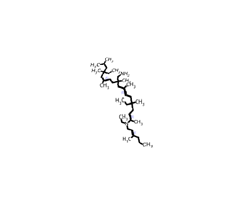 CCC/C(C)=C/CN(CC)/C(C)=C/CC(C)(CC)C/C=C(\C)CC(C)(CN)C/C=C(\C)CC(C)(CC)CC(C)C